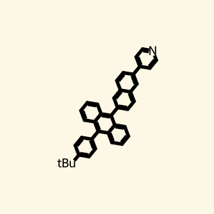 CC(C)(C)c1ccc(-c2c3ccccc3c(-c3ccc4cc(-c5ccncc5)ccc4c3)c3ccccc23)cc1